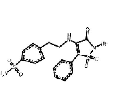 CC(C)N1C(=O)C(NCCc2ccc(S(N)(=O)=O)cc2)=C(c2ccccc2)S1(=O)=O